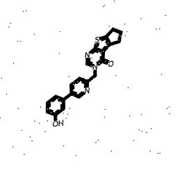 O=c1c2c3c(sc2ncn1Cc1ccc(-c2cccc(O)c2)cn1)CCC3